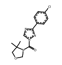 CC1(C)COCN1C(=O)n1cnc(-c2ccc(Cl)cc2)n1